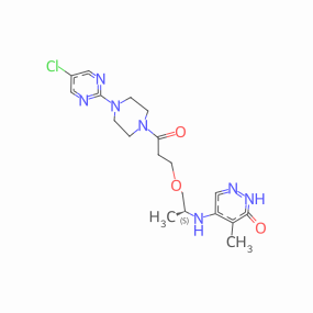 Cc1c(N[C@@H](C)COCCC(=O)N2CCN(c3ncc(Cl)cn3)CC2)cn[nH]c1=O